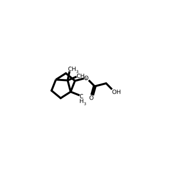 CC1(C)C2CCC1(C)C(OC(=O)CO)C2